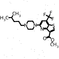 COC(=O)c1csc2c(C(F)(F)F)cc(N3CCN(CCCC(C)C)CC3)nc12